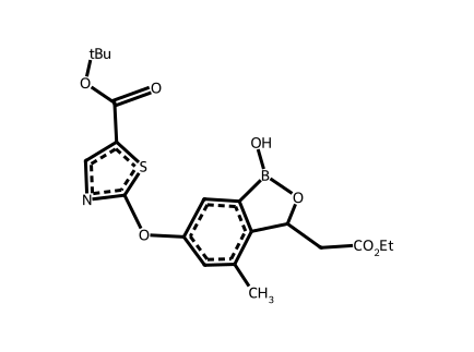 CCOC(=O)CC1OB(O)c2cc(Oc3ncc(C(=O)OC(C)(C)C)s3)cc(C)c21